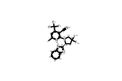 Cc1cc(C(F)(F)F)c(C#N)c(N2CC(F)(F)C[C@H]2c2nc3ccccc3o2)n1